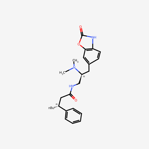 CCCC[C@H](CC(=O)NC[C@H](Cc1ccc2[nH]c(=O)oc2c1)N(C)C)c1ccccc1